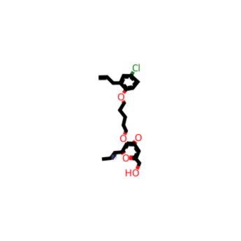 C=CCc1cc(Cl)ccc1OCCCCCOc1c(/C=C/C)oc(CO)cc1=O